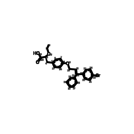 CCO[C@@H](Cc1ccc(OC/C=C(\c2ccccc2)c2ccc(Br)cc2)cc1)C(=O)O